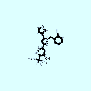 CCOC(=O)C(C)(C)c1nnc(-c2cc(-c3ccon3)n(Cc3ccccc3F)n2)nc1O